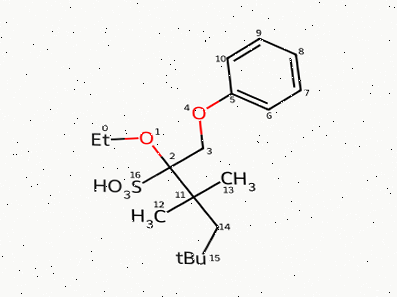 CCOC(COc1ccccc1)(C(C)(C)CC(C)(C)C)S(=O)(=O)O